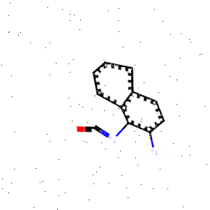 Nc1ccc2ccccc2c1N=C=O